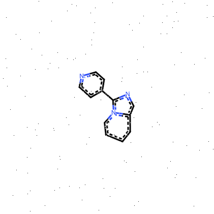 c1ccn2c(-c3ccncc3)ncc2c1